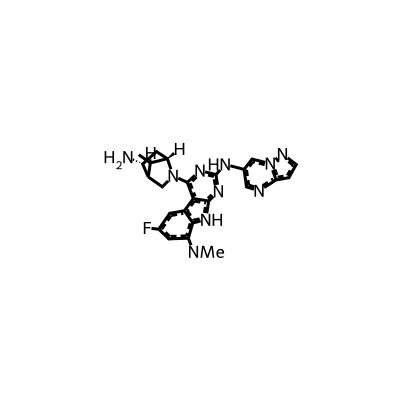 CNc1cc(F)cc2c1[nH]c1nc(Nc3cnc4ccnn4c3)nc(N3CC4[C@H](N)C[C@H]3[C@@H]4C)c12